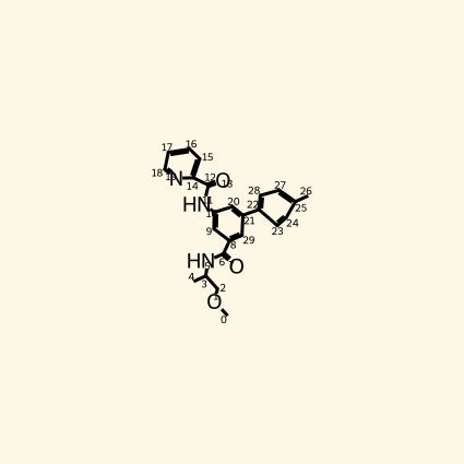 COCC(C)NC(=O)c1cc(NC(=O)c2ccccn2)cc(-c2ccc(C)cc2)c1